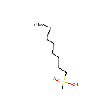 CCCCCCCCCCCCC[SH](C)(=O)O